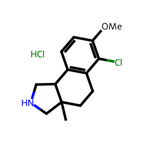 COc1ccc2c(c1Cl)CCC1(C)CNCC21.Cl